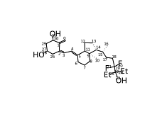 C=C1/C(=C\C=C2CCC[C@@]3(C)C2CC[C@@H]3[C@H](C)CCC(F)(F)C(O)(CC)CC)C[C@@H](O)C[C@H]1O